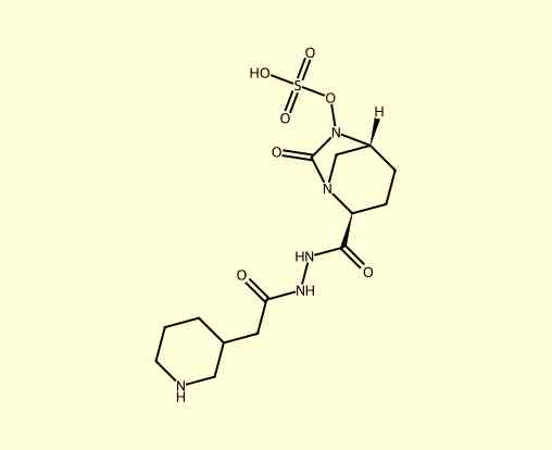 O=C(CC1CCCNC1)NNC(=O)[C@@H]1CC[C@@H]2CN1C(=O)N2OS(=O)(=O)O